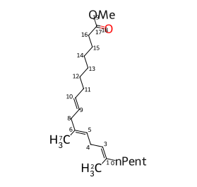 CCCCC/C(C)=C/C/C=C(\C)C/C=C/CCCCCCC(=O)OC